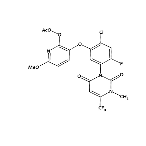 COc1ccc(Oc2cc(-n3c(=O)cc(C(F)(F)F)n(C)c3=O)c(F)cc2Cl)c(OOC(C)=O)n1